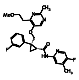 COCCc1nc(C)ncc1OC[C@@]1(c2cccc(F)c2)C[C@H]1C(=O)Nc1cc(C)c(F)cn1